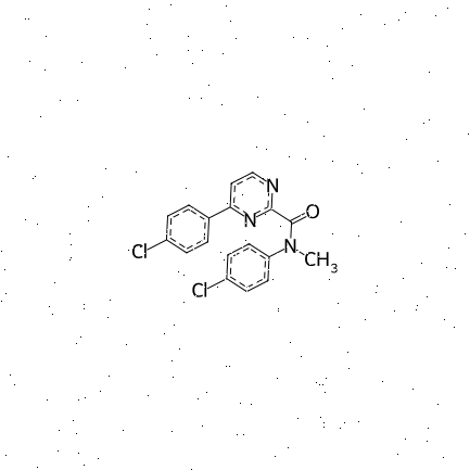 CN(C(=O)c1nccc(-c2ccc(Cl)cc2)n1)c1ccc(Cl)cc1